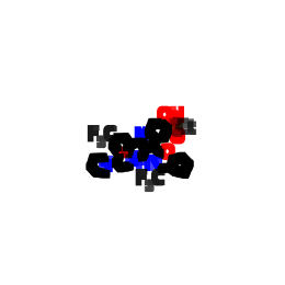 CCS(=O)(=O)c1cc2c(C(=O)N[C@H](c3ccccc3)C(F)(F)F)c(CN3CCC(N4CCCCC4)CC3)c(-c3cccc(C(F)(F)F)c3)nc2cc1O